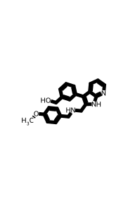 COc1ccc(CNCc2[nH]c3ncccc3c2-c2cccc(CO)c2)cc1